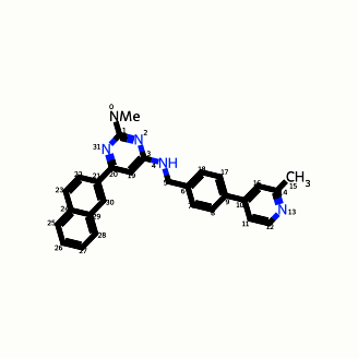 CNc1nc(NCc2ccc(-c3ccnc(C)c3)cc2)cc(-c2ccc3ccccc3c2)n1